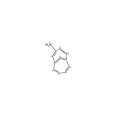 NC1=CC2=C=C(C=CC=C2)C=C1